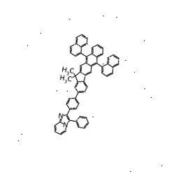 CC1(C)c2cc(-c3ccc(-c4nc5ccccn5c4-c4ccccc4)cc3)ccc2-c2cc3c(-c4cccc5ccccc45)c4ccccc4c(-c4cccc5ccccc45)c3cc21